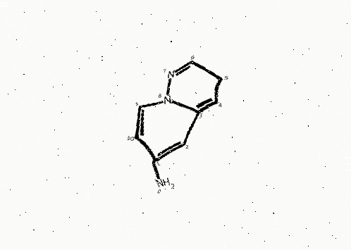 NC1=CC2=CCC=NN2C=C1